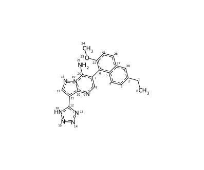 CCc1ccc2c(-c3cnc4c(-c5nnn[nH]5)cnn4c3N)c(OC)ccc2c1